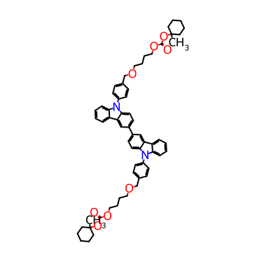 CC1(OC(=O)OCCCCOCc2ccc(-n3c4ccccc4c4cc(-c5ccc6c(c5)c5ccccc5n6-c5ccc(COCCCCOC(=O)OC6(C)CCCCC6)cc5)ccc43)cc2)CCCCC1